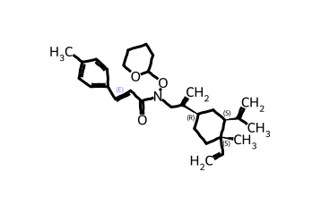 C=C[C@]1(C)CC[C@@H](C(=C)CN(OC2CCCCO2)C(=O)/C=C/c2ccc(C)cc2)C[C@H]1C(=C)C